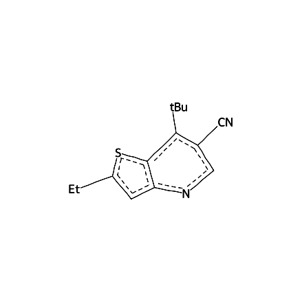 CCc1cc2ncc(C#N)c(C(C)(C)C)c2s1